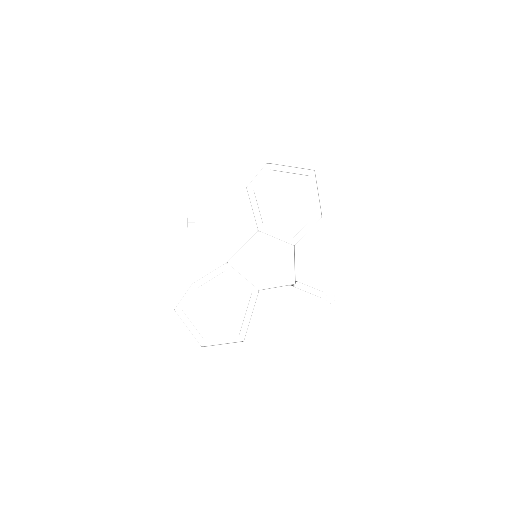 O=C1c2ccccc2-c2ccccc21.[H+]